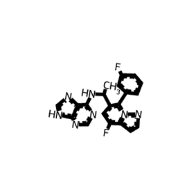 CC(Nc1ncnc2[nH]cnc12)c1cc(F)c2ccnn2c1-c1cccc(F)c1